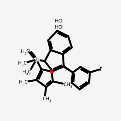 CC1=C(C)C(C)[C]([Zr]([CH3])([CH3])(=[SiH2])[CH]2C=C(c3cccc(F)c3)c3ccccc32)=C1C.Cl.Cl